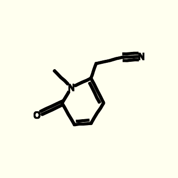 Cn1c(CC#N)cccc1=O